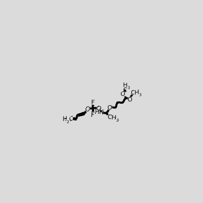 C=C/C=C/OC(F)(F)ONC(C)OCCCC(OC)OC